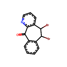 O=C1c2ccccc2C(Br)C(Br)c2cccnc21